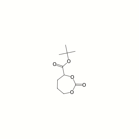 CC(C)(C)OC(=O)C1CCCOC(=O)O1